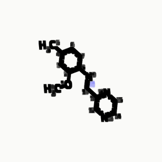 COc1cc(C)ccc1/N=C/c1cnccn1